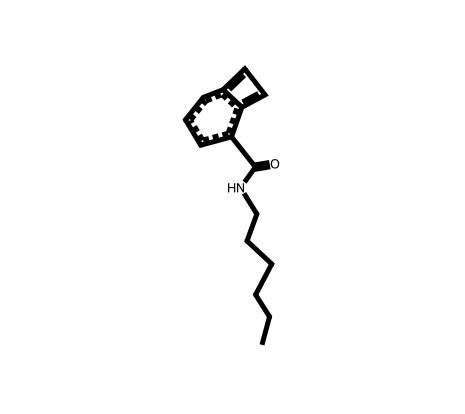 CCCCCCNC(=O)c1cccc2c1=CC=2